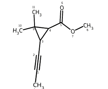 CC#CC1C(C(=O)OC)C1(C)C